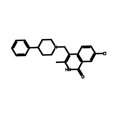 Cc1[nH]c(=O)c2cc(Cl)ccc2c1CN1CCC(c2ccccc2)CC1